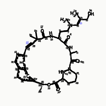 CC1NC(=O)C(CCN(N)/C=C(\N)CO)NC(=O)C(C)(C)/C=C/c2cc3cc(ccc3cn2)[C@@H](C)OC(=O)C2CCCN(N2)C1=O